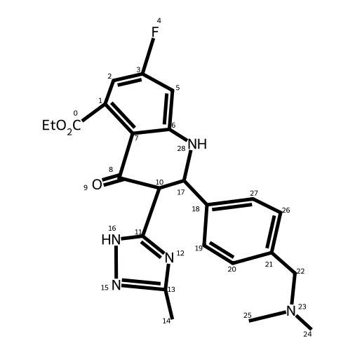 CCOC(=O)c1cc(F)cc2c1C(=O)C(c1nc(C)n[nH]1)C(c1ccc(CN(C)C)cc1)N2